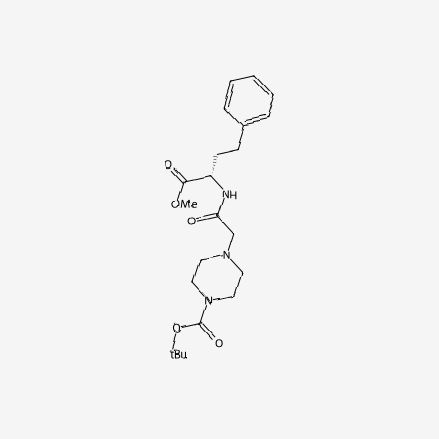 COC(=O)[C@H](CCc1ccccc1)NC(=O)CN1CCN(C(=O)OC(C)(C)C)CC1